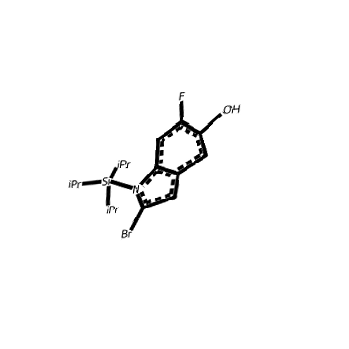 CC(C)[Si](C(C)C)(C(C)C)n1c(Br)cc2cc(O)c(F)cc21